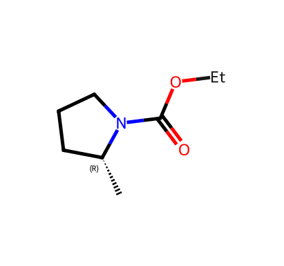 CCOC(=O)N1CCC[C@H]1C